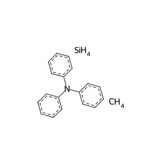 C.[SiH4].c1ccc(N(c2ccccc2)c2ccccc2)cc1